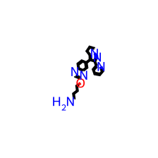 NCCCCOc1cnc2ccc(-c3c(-c4ccccn4)nn4c3CCC4)cc2n1